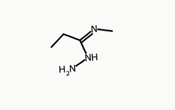 CC/C(=N/C)NN